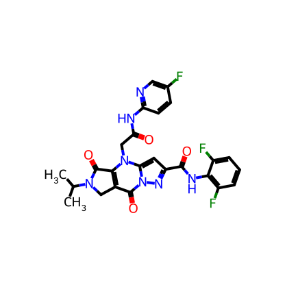 CC(C)N1Cc2c(n(CC(=O)Nc3ccc(F)cn3)c3cc(C(=O)Nc4c(F)cccc4F)nn3c2=O)C1=O